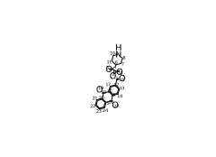 O=C(OS(=O)(=O)C1CCNCC1)c1ccc2c(c1)C(=O)c1ccccc1C2=O